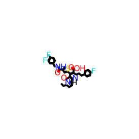 CCC1CC[C@H]2c3nc(CCc4ccc(F)cc4)c(C(=O)O)c(-c4cc(C(=O)NCc5ccc(F)c(F)c5)cs4)c3C(=O)N12